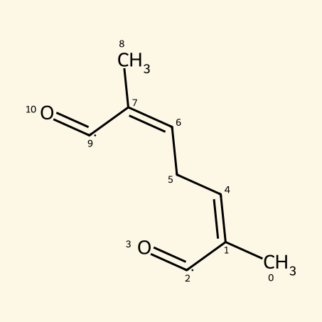 CC([C]=O)=CCC=C(C)[C]=O